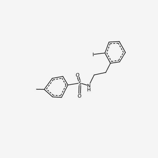 Cc1ccc(S(=O)(=O)NCCc2ccccc2I)cc1